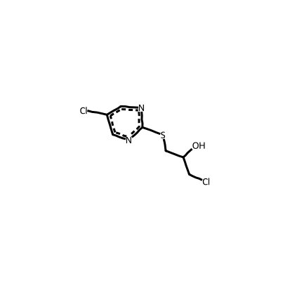 OC(CCl)CSc1ncc(Cl)cn1